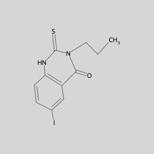 CCCn1c(=S)[nH]c2ccc(I)cc2c1=O